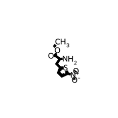 CCOC(=O)C(N)Cc1ccc([N+](=O)[O-])s1